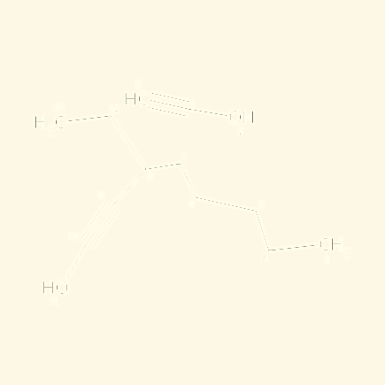 C#CO.CCCCCC(C#CO)CC